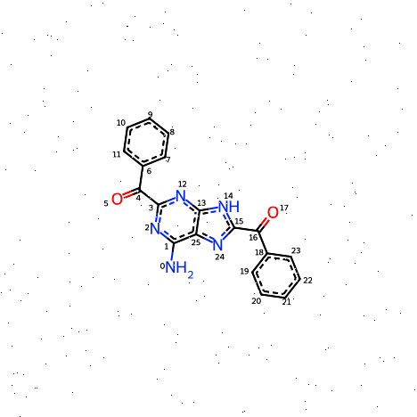 Nc1nc(C(=O)c2ccccc2)nc2[nH]c(C(=O)c3ccccc3)nc12